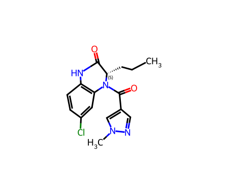 CCC[C@H]1C(=O)Nc2ccc(Cl)cc2N1C(=O)c1cnn(C)c1